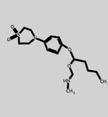 CCCCC(OCNC)Oc1ccc(N2CCS(=O)(=O)CC2)cc1